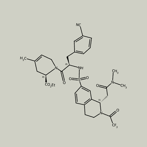 CCOC(=O)[C@H]1CC(C)=CCN1C(=O)[C@@H](Cc1cccc(C#N)c1)NS(=O)(=O)c1ccc2c(c1)[C@H](CC(=O)N(C)C)N(C(=O)C(F)(F)F)CC2